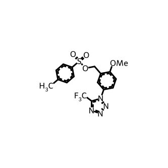 COc1ccc(-n2nnnc2C(F)(F)F)cc1COS(=O)(=O)c1ccc(C)cc1